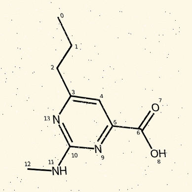 CCCc1cc(C(=O)O)nc(NC)n1